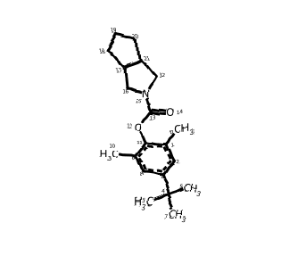 Cc1cc(C(C)(C)C)cc(C)c1OC(=O)N1CC2CCCC2C1